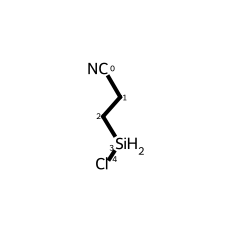 N#CCC[SiH2]Cl